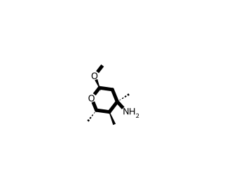 CO[C@H]1C[C@@](C)(N)[C@@H](C)[C@H](C)O1